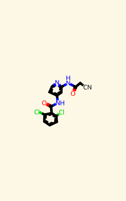 N#CCC(=O)Nc1cc(NC(=O)c2c(Cl)cccc2Cl)ccn1